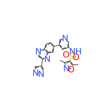 Cc1noc(C)c1S(=O)(=O)Nc1cncc(-c2ccc3ncc(-c4cnn(C)c4)nc3c2)c1